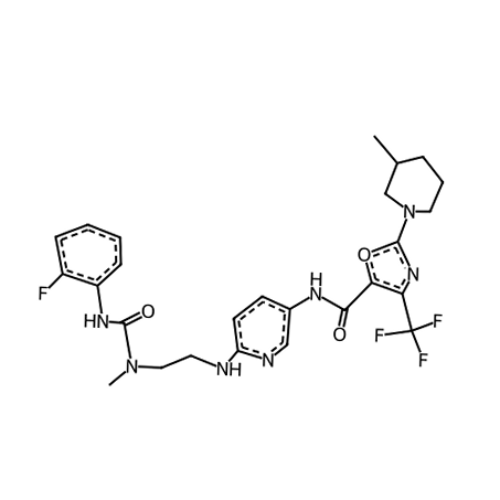 CC1CCCN(c2nc(C(F)(F)F)c(C(=O)Nc3ccc(NCCN(C)C(=O)Nc4ccccc4F)nc3)o2)C1